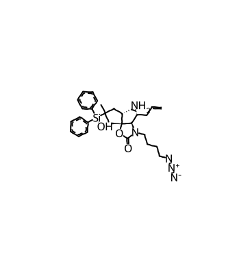 C=CC[C@@H](N)[C@H]1N(CCCCN=[N+]=[N-])C(=O)O[C@]1(C)[C@@H](CC)CC(C)(C)[Si](O)(c1ccccc1)c1ccccc1